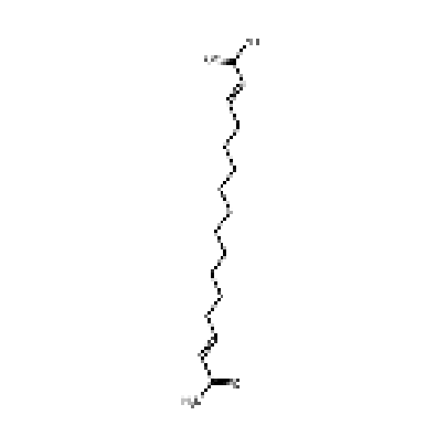 NC(=O)/C=C/CCCCCCCCCC/C=C/C(N)=O